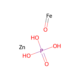 O=P(O)(O)O.[O]=[Fe].[Zn]